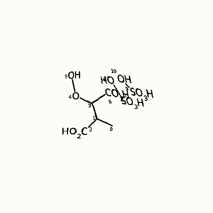 CC(C(=O)O)C(OO)C(=O)O.O=S(=O)(O)O.O=S(=O)(O)O